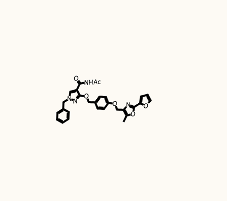 CC(=O)NC(=O)c1cn(Cc2ccccc2)nc1OCc1ccc(OCc2nc(-c3ccco3)oc2C)cc1